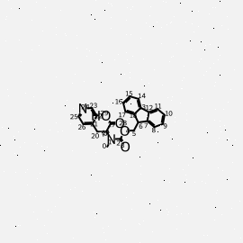 CN(C(=O)OCC1c2ccccc2-c2ccccc21)[C@@H](Cc1ccncc1)C(=O)O